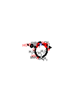 CO[C@@H]1C[C@H](C[C@@H](C)[C@@H]2CC(=O)[C@H](C)/C=C(\C)[C@@H](O)[C@@H](OC)C(=O)[C@H](C)C[C@H](C)/C=C/C=C/C=C(\C)[C@H](OC3CC3)C[C@@H]3CC[C@@H](C)[C@@](O)(O3)C(=O)C(=O)N3CCCC[C@H]3C(=O)O2)CC[C@H]1OCCO